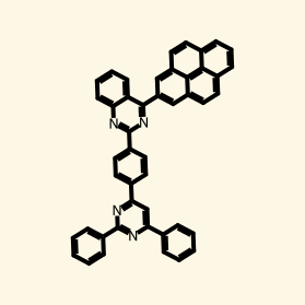 c1ccc(-c2cc(-c3ccc(-c4nc(-c5cc6ccc7cccc8ccc(c5)c6c78)c5ccccc5n4)cc3)nc(-c3ccccc3)n2)cc1